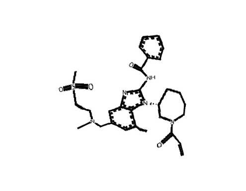 C=CC(=O)N1CCCC[C@@H](n2c(NC(=O)c3ccccc3)nc3cc(CN(C)CCS(C)(=O)=O)cc(C)c32)C1